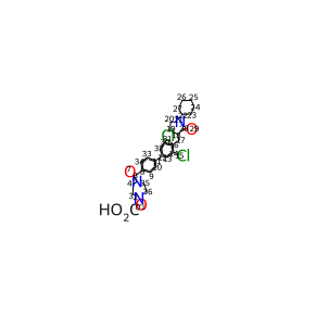 O=C(O)ON1CCN(C(=O)c2ccc(-c3cc(Cl)c(CC4CCN(C5CCCCC5)C4=O)c(Cl)c3)cc2)CC1